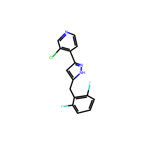 Fc1cccc(F)c1Cc1cc(-c2ccncc2Cl)n[nH]1